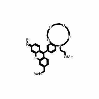 CC/N=c1\ccc2c(-c3ccc4c(c3)OCCOCCOCCOCCN4CCOC)c3ccc(CNC)cc3oc-2c1